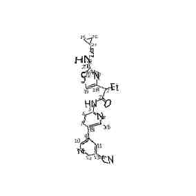 CCC(C(=O)Nc1ccc(-c2cncc(C#N)c2)cn1)c1csc(NSC2CC2)n1